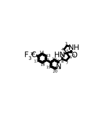 O=C1NCC[C@]12CC[C@@H](c1cc(-c3ccc(C(F)(F)F)cc3)ccn1)N2